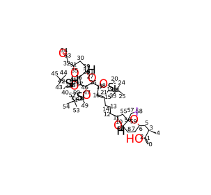 C=C(O)[C@H](C)CC1CC[C@@H]2OC(CCC/C=C/[C@H](O[Si](C)(C)C(C)(C)C)[C@@H]3O[C@H]4CCC(CC=O)O[C@@H]4C(O[Si](C)(C)C(C)(C)C)C3O[Si](C)(C)C(C)(C)C)CC2(CI)O1